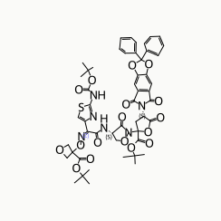 CC(C)(C)OC(=O)Nc1nc(/C(=N/OC2(C(=O)OC(C)(C)C)COC2)C(=O)N[C@H]2CON(C3(C(=O)OC(C)(C)C)C[C@H](N4C(=O)c5cc6c(cc5C4=O)OC(c4ccccc4)(c4ccccc4)O6)C(=O)O3)C2=O)cs1